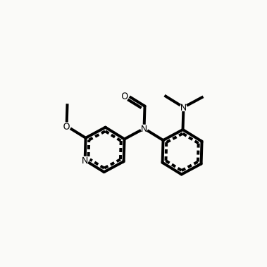 COc1cc(N(C=O)c2ccccc2N(C)C)ccn1